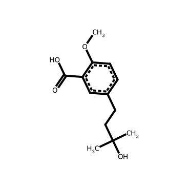 COc1ccc(CCC(C)(C)O)cc1C(=O)O